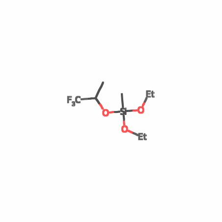 CCO[Si](C)(OCC)OC(C)C(F)(F)F